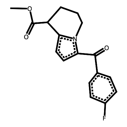 COC(=O)C1CCCn2c(C(=O)c3ccc(F)cc3)ccc21